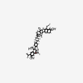 CCc1c2c(nc3ccc(O)cc13)-c1cc3c(c(=O)n1C2)COC(=O)C3(CC)OC(=O)N1CCN(c2ccc(N(C(=N)c3cc(C(C)C)c(O)cc3O)C(N)=O)cc2)CC1